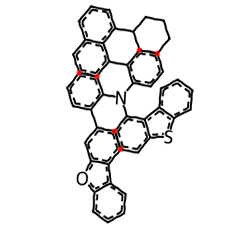 c1ccc(N(c2ccccc2-c2cccc3cccc(C4CCCCC4)c23)c2cccc3sc4ccccc4c23)c(-c2ccc3c(c2)oc2ccccc23)c1